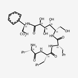 CC(C)C[C@H](NC(=O)[C@H](CC(C)C)NC(=O)[C@@H](N)C(C)C)C(=O)N[C@@H](CO)[C@@H](O)[C@@H](O)[C@H](O)C(=O)N[C@@H](CC(=O)O)c1ccccc1